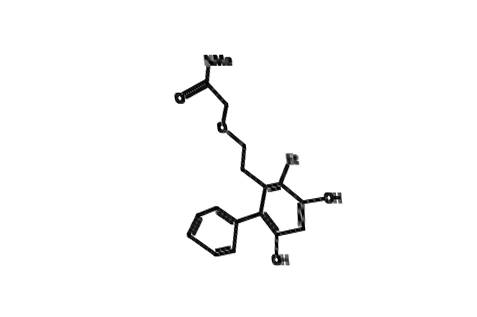 CCc1c(O)cc(O)c(-c2ccccc2)c1CCOCC(=O)NC